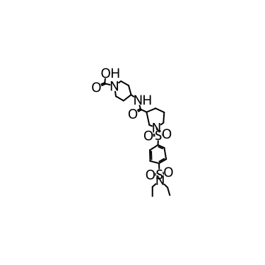 CCN(CC)S(=O)(=O)c1ccc(S(=O)(=O)N2CCCC(C(=O)NC3CCN(C(=O)O)CC3)C2)cc1